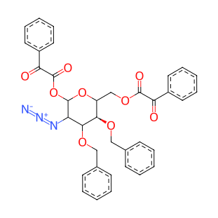 [N-]=[N+]=NC1C(OC(=O)C(=O)c2ccccc2)OC(COC(=O)C(=O)c2ccccc2)[C@@H](OCc2ccccc2)C1OCc1ccccc1